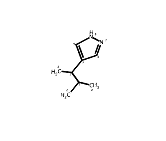 CC(C)C(C)c1cn[nH]c1